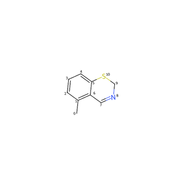 Cc1cccc2c1C=NCS2